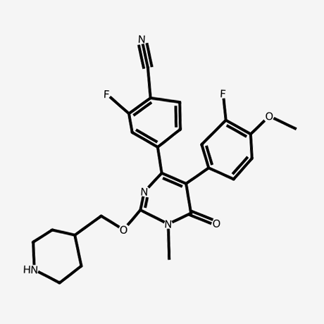 COc1ccc(-c2c(-c3ccc(C#N)c(F)c3)nc(OCC3CCNCC3)n(C)c2=O)cc1F